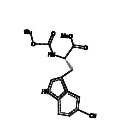 COC(=O)[C@H](Cc1c[nH]c2ccc(C#N)cc12)NC(=O)OC(C)(C)C